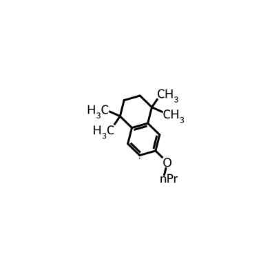 CCCOc1[c]cc2c(c1)C(C)(C)CCC2(C)C